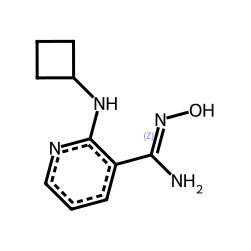 N/C(=N\O)c1cccnc1NC1CCC1